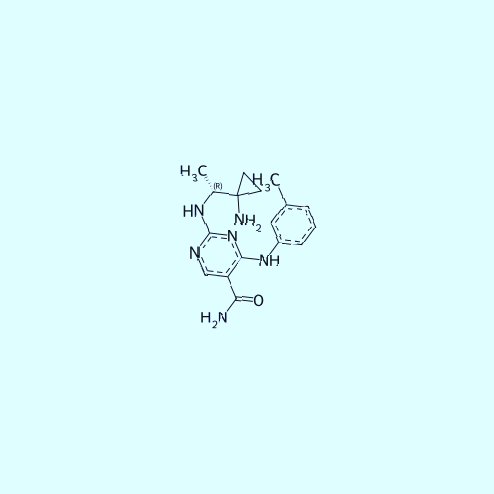 Cc1cccc(Nc2nc(N[C@H](C)C3(N)CC3)ncc2C(N)=O)c1